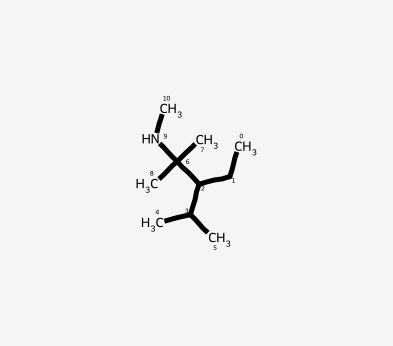 CCC(C(C)C)C(C)(C)NC